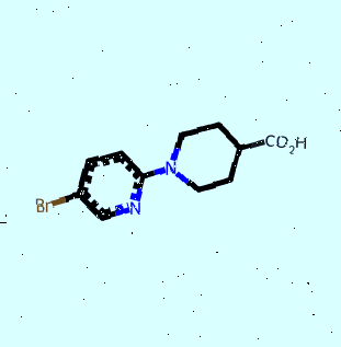 O=C(O)C1CCN(c2ccc(Br)cn2)CC1